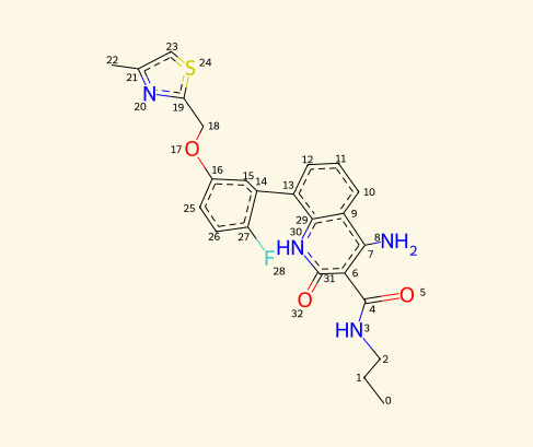 CCCNC(=O)c1c(N)c2cccc(-c3cc(OCc4nc(C)cs4)ccc3F)c2[nH]c1=O